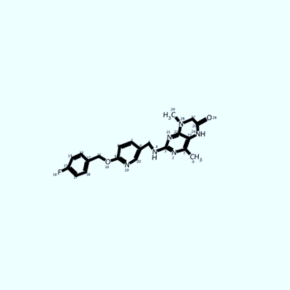 Cc1nc(NCc2ccc(OCc3ccc(F)cc3)nc2)nc2c1NC(=O)CN2C